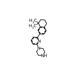 CC1(C)CCCc2ccc(-c3cccc(N4CCNCC4)n3)cc21